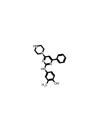 Cc1cc(Nc2nc(-c3ccccc3)cc(N3CCNCC3)n2)ccc1O